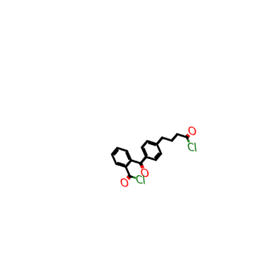 O=C(Cl)CCCc1ccc(C(=O)c2ccccc2C(=O)Cl)cc1